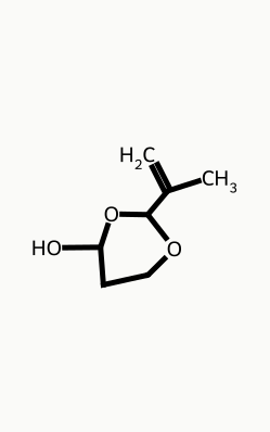 C=C(C)C1OCCC(O)O1